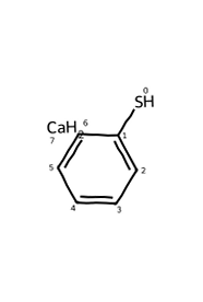 Sc1ccccc1.[CaH2]